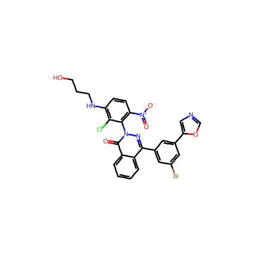 O=c1c2ccccc2c(-c2cc(Br)cc(-c3cnco3)c2)nn1-c1c([N+](=O)[O-])ccc(NCCCO)c1Cl